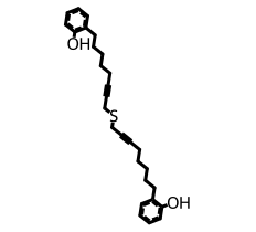 Oc1ccccc1CCCCCC#CCSCC#CCCCCCc1ccccc1O